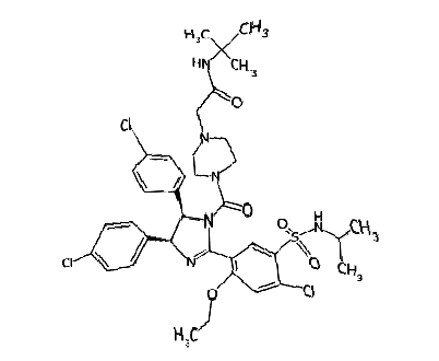 CCOc1cc(Cl)c(S(=O)(=O)NC(C)C)cc1C1=N[C@@H](c2ccc(Cl)cc2)[C@@H](c2ccc(Cl)cc2)N1C(=O)N1CCN(CC(=O)NC(C)(C)C)CC1